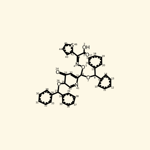 O=C(O)/C(=N\OC(OC(c1ccccc1)c1ccccc1)C1=CC(=O)C(OC(c2ccccc2)c2ccccc2)C=N1)c1cccs1